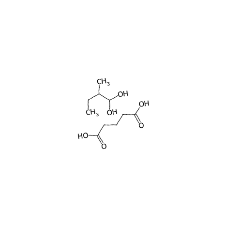 CCC(C)C(O)O.O=C(O)CCCC(=O)O